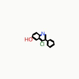 Oc1ccc2ncc(-c3ccccc3)c(Cl)c2c1